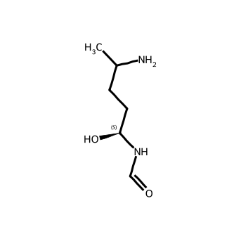 CC(N)CC[C@H](O)NC=O